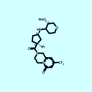 CO[C@@H]1COCCC1N[C@@H]1CC[C@@](C(=O)N2CCn3c(cc(C(F)(F)F)cc3=O)C2)(C(C)C)C1